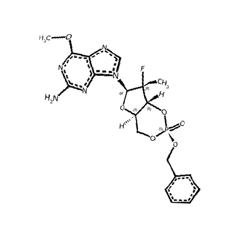 COc1nc(N)nc2c1ncn2[C@@H]1O[C@@H]2CO[P@](=O)(OCc3ccccc3)O[C@H]2[C@@]1(C)F